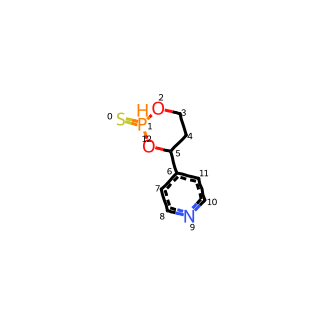 S=[PH]1OCCC(c2ccncc2)O1